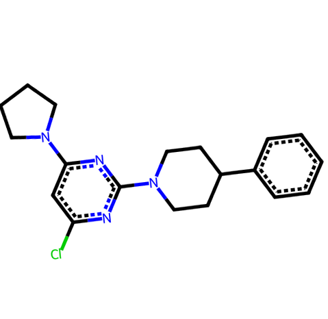 Clc1cc(N2CCCC2)nc(N2CCC(c3ccccc3)CC2)n1